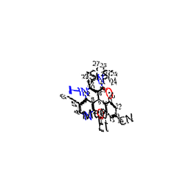 CCOc1ncc(C)c2c1C(c1ccc(C#N)cc1OC)C(C(=O)N([Si](C)(C)C)[Si](C)(C)C)=C(C)N2